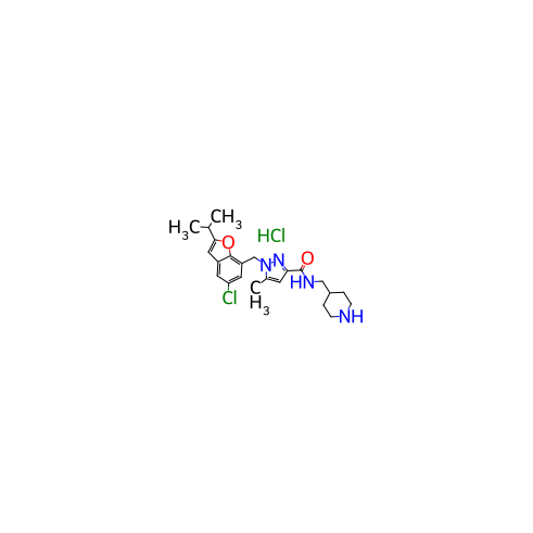 Cc1cc(C(=O)NCC2CCNCC2)nn1Cc1cc(Cl)cc2cc(C(C)C)oc12.Cl